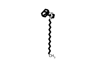 CCCCCCCCCCCCCCCCn1ccnc1C12CC3CC(CC(C3)C1)C2